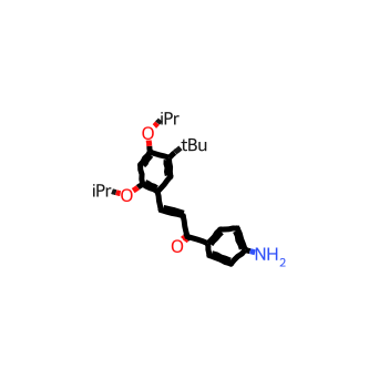 CC(C)Oc1cc(OC(C)C)c(C(C)(C)C)cc1C=CC(=O)c1ccc(N)cc1